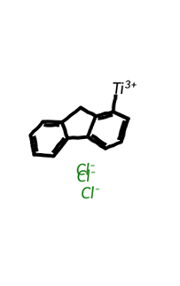 [Cl-].[Cl-].[Cl-].[Ti+3][c]1cccc2c1Cc1ccccc1-2